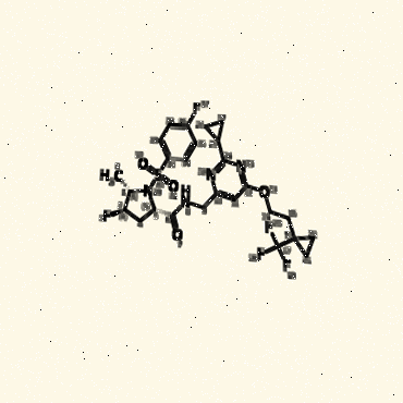 C[C@H]1[C@H](F)C[C@@H](C(=O)NCc2cc(OCCC3(C(F)(F)F)CC3)nc(C3CC3)n2)N1S(=O)(=O)c1ccc(F)cc1